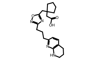 O=C(O)CC1(Cc2nc(CCCc3ccc4c(n3)NCCC4)no2)CCCC1